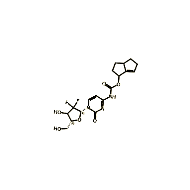 O=C(Nc1ccn([C@@H]2O[C@H](CO)C(O)C2(F)F)c(=O)n1)OC1CCC2CCC=C21